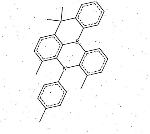 Cc1ccc(N2c3c(C)cccc3B3c4ccccc4C(C)(C)c4ccc(C)c2c43)cc1